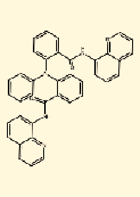 O=C(Nc1cccc2cccnc12)c1ccccc1N(c1ccccc1)c1ccccc1C(=O)Nc1cccc2cccnc12